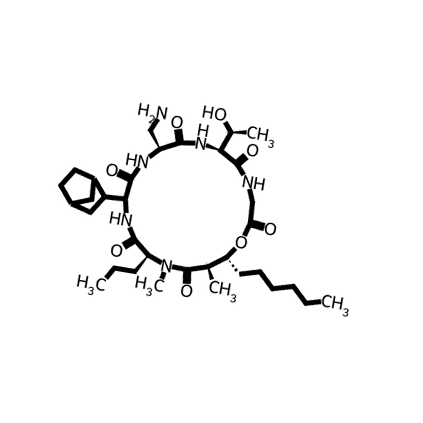 CCCCCC[C@H]1OC(=O)CNC(=O)[C@H]([C@H](C)O)NC(=O)[C@H](CN)NC(=O)C(C2CC3CCC2C3)NC(=O)[C@H](CCC)N(C)C(=O)[C@@H]1C